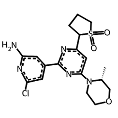 C[C@@H]1COCCN1c1cc(C2CCCS2(=O)=O)nc(-c2cc(N)nc(Cl)c2)n1